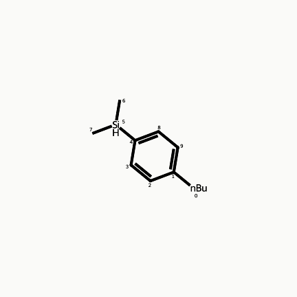 CCCCc1ccc([SiH](C)C)cc1